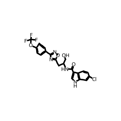 O=C(NC(CO)Cc1nc(-c2ccc(OC(F)(F)F)cc2)no1)c1c[nH]c2cc(Cl)ccc12